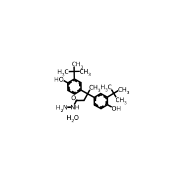 CC(C)(C)c1cc(C(C)(CC(=O)NN)c2ccc(O)c(C(C)(C)C)c2)ccc1O.O